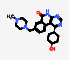 CN1CCN(Cc2ccc3c(c2)c(=O)[nH]c2ncnc([C@H]4CC[C@H](O)CC4)c23)CC1